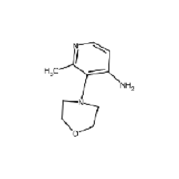 Cc1nccc(N)c1N1CCOCC1